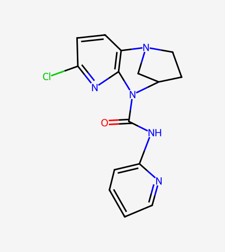 O=C(Nc1ccccn1)N1c2nc(Cl)ccc2N2CCC1C2